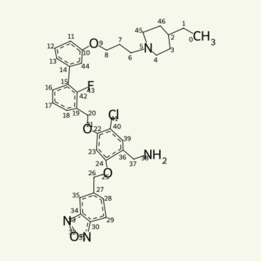 CCC1CCN(CCCOc2cccc(-c3cccc(COc4cc(OCc5ccc6nonc6c5)c(CN)cc4Cl)c3F)c2)CC1